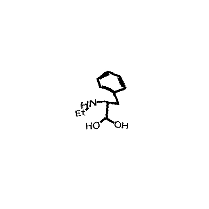 CCNC(Cc1ccccc1)C(O)O